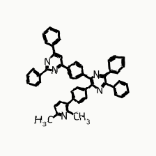 Cc1ccc(-c2ccc(-c3nc(-c4ccccc4)c(-c4ccccc4)nc3-c3ccc(-c4cc(-c5ccccc5)nc(-c5ccccc5)n4)cc3)cc2)c(C)n1